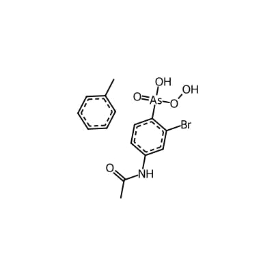 CC(=O)Nc1ccc([As](=O)(O)OO)c(Br)c1.Cc1ccccc1